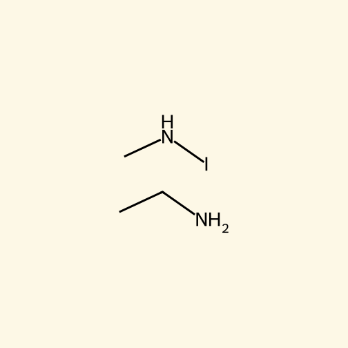 CCN.CNI